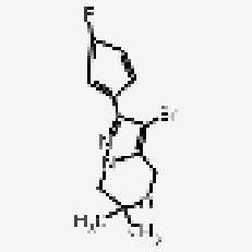 CC1(C)Cn2nc(-c3ccc(F)cc3)c(Br)c2CO1